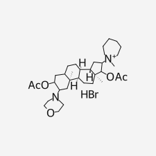 Br.CC(=O)OC1CC2CC[C@@H]3[C@@H](CC[C@]4(C)C(OC(C)=O)C([N+]5(C)CCCCCC5)C[C@@H]34)[C@@]2(C)CC1N1CCOCC1